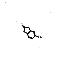 N#Cc1ccc2c(c1)CC(=O)C2